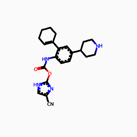 N#Cc1c[nH]c(OC(=O)Nc2ccc(C3CCNCC3)cc2C2=CCCCC2)n1